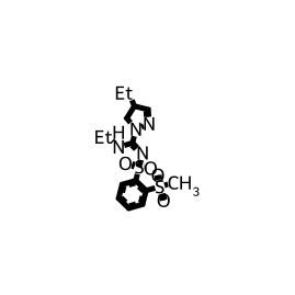 CCN/C(=N\S(=O)(=O)c1ccccc1S(C)(=O)=O)N1CC(CC)C=N1